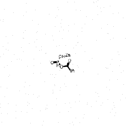 CC(C)C(=O)O[PH](=O)O.[Zn]